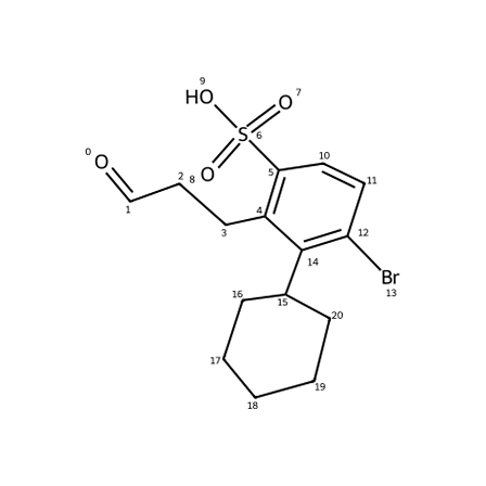 O=CCCc1c(S(=O)(=O)O)ccc(Br)c1C1CCCCC1